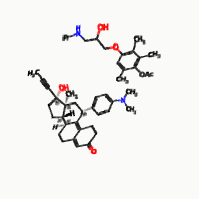 CC#C[C@]1(O)CC[C@H]2[C@@H]3CCC4=CC(=O)CCC4=C3[C@@H](c3ccc(N(C)C)cc3)C[C@@]21C.CC(=O)Oc1c(C)cc(OCC(O)CNC(C)C)c(C)c1C